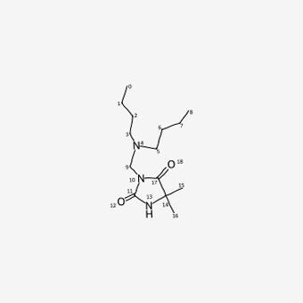 CCCCN(CCCC)CN1C(=O)NC(C)(C)C1=O